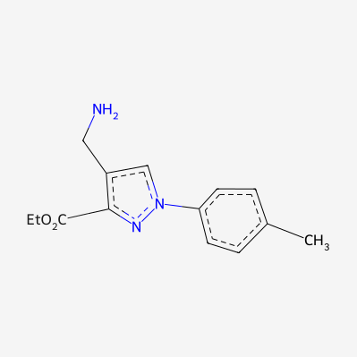 CCOC(=O)c1nn(-c2ccc(C)cc2)cc1CN